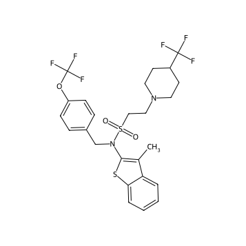 Cc1c(N(Cc2ccc(OC(F)(F)F)cc2)S(=O)(=O)CCN2CCC(C(F)(F)F)CC2)sc2ccccc12